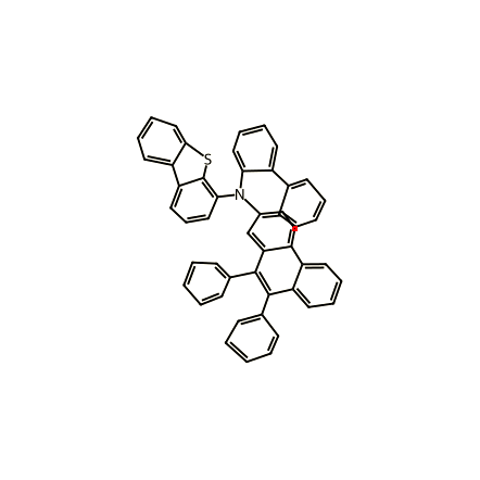 c1ccc(-c2ccccc2N(c2ccc3c(c2)c(-c2ccccc2)c(-c2ccccc2)c2ccccc23)c2cccc3c2sc2ccccc23)cc1